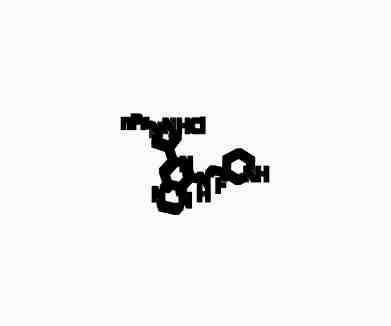 CCCn1cc(-c2cc3nccnc3c(NCC3(F)CCCNC3)n2)cn1.Cl